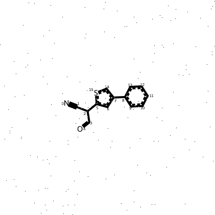 N#CC(C=O)c1cc(-c2ccccc2)cs1